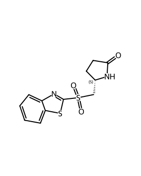 O=C1CC[C@@H](CS(=O)(=O)c2nc3ccccc3s2)N1